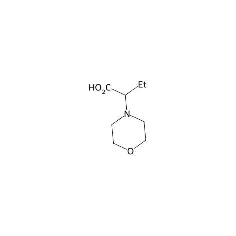 CCC(C(=O)O)N1CCOCC1